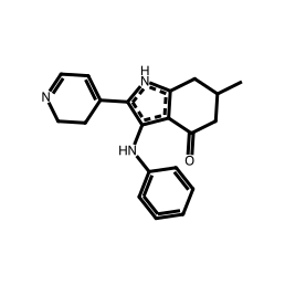 CC1CC(=O)c2c([nH]c(C3=CC=NCC3)c2NC2=C=C=CC=C2)C1